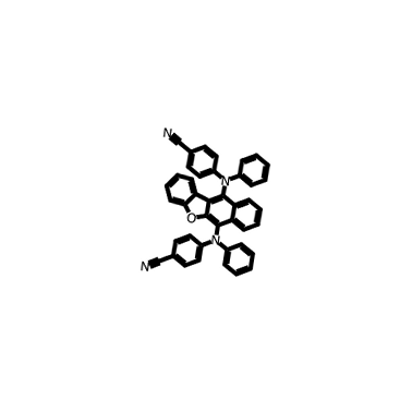 N#Cc1ccc(N(c2ccccc2)c2c3ccccc3c(N(c3ccccc3)c3ccc(C#N)cc3)c3c2oc2ccccc23)cc1